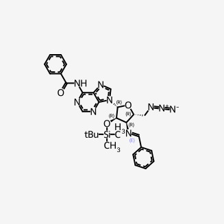 CC(C)(C)[Si](C)(C)O[C@@H]1[C@H](/N=C/c2ccccc2)[C@@H](CN=[N+]=[N-])O[C@H]1n1cnc2c(NC(=O)c3ccccc3)ncnc21